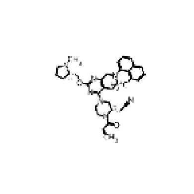 C=CC(=O)N1CCN(c2nc(OC[C@@H]3CCCN3C)nc3c2CCN(c2cccc4cccc([14CH3])c24)C3)C[C@@H]1CC#N